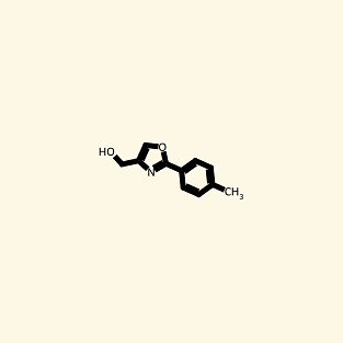 Cc1ccc(-c2nc(CO)co2)cc1